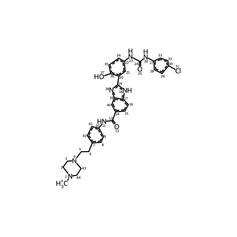 CN1CCN(CCc2ccc(NC(=O)c3ccc4[nH]c(-c5cc(NC(=O)Nc6ccc(Cl)cc6)ccc5O)nc4c3)cc2)CC1